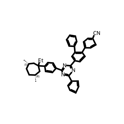 CCC1(c2ccc(-c3nc(-c4ccccc4)nc(-c4ccc(-c5ccc(C#N)cc5)c(-c5ccccc5)c4)n3)cc2)C[C@H](C)CC[C@H](C)C1